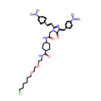 CCN(CC)c1ccc(/C=C2N=C(/C=C/c3ccc(N(CC)CC)cc3)N(CC(=O)NC3CCC(C(=O)NCCOCCOCCCCCCCl)CC3)C\2=O)cc1